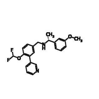 COc1cccc([C@@H](C)NCc2ccc(OC(F)F)c(-c3cccnc3)c2)c1